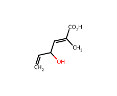 C=CC(O)/C=C(\C)C(=O)O